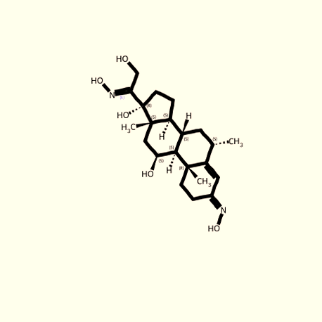 C[C@H]1C[C@@H]2[C@H]([C@@H](O)C[C@@]3(C)[C@H]2CC[C@]3(O)/C(CO)=N/O)[C@@]2(C)CCC(=NO)C=C12